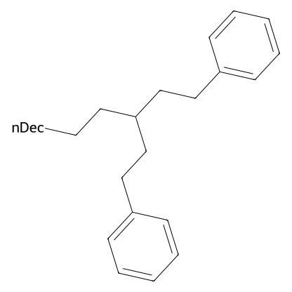 CCCCCCCCCCCCC(CCc1ccccc1)CCc1ccccc1